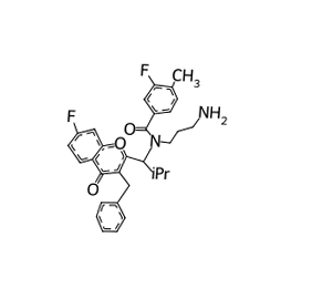 Cc1ccc(C(=O)N(CCCN)C(c2oc3cc(F)ccc3c(=O)c2Cc2ccccc2)C(C)C)cc1F